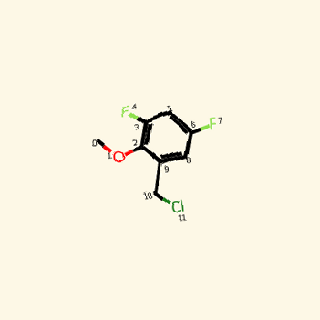 COc1c(F)cc(F)cc1CCl